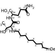 CCCCCCCCCCCCCCCCCCN[C@H](C(=O)N[C@H](CCC(N)=O)C(=O)O)[C@@H](C)O